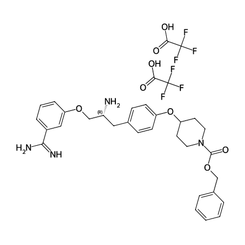 N=C(N)c1cccc(OC[C@H](N)Cc2ccc(OC3CCN(C(=O)OCc4ccccc4)CC3)cc2)c1.O=C(O)C(F)(F)F.O=C(O)C(F)(F)F